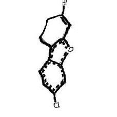 Clc1ccc2c3c(oc2c1)C=C(Br)CC3